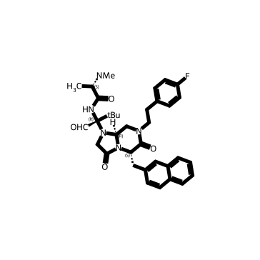 CN[C@@H](C)C(=O)N[C@@](C=O)(N1CC(=O)N2[C@@H](Cc3ccc4ccccc4c3)C(=O)N(CCc3ccc(F)cc3)C[C@@H]21)C(C)(C)C